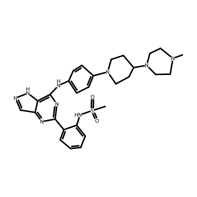 CN1CCN(C2CCN(c3ccc(Nc4nc(-c5ccccc5NS(C)(=O)=O)nc5cn[nH]c45)cc3)CC2)CC1